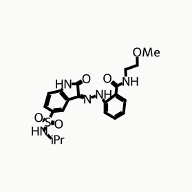 COCCNC(=O)c1ccccc1N/N=C1\C(=O)Nc2ccc(S(=O)(=O)NC(C)C)cc21